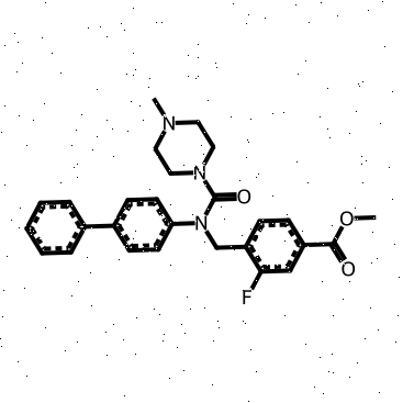 COC(=O)c1ccc(CN(C(=O)N2CCN(C)CC2)c2ccc(-c3ccccc3)cc2)c(F)c1